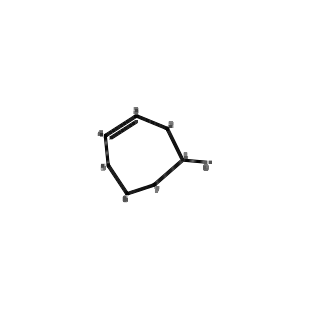 [CH2]C1CC=CCCC1